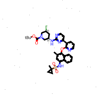 Cc1cc(NS(=O)(=O)C2(C)CC2)c2ccccc2c1Oc1ncccc1-c1ccnc(N[C@H]2C[C@H](F)CN(C(=O)OC(C)(C)C)C2)n1